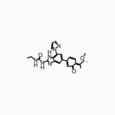 CCNC(=O)Nc1nc2cc(C3=CC(=O)/C(=C(\C)[C@@H](C)OC)C=C3)cc(-n3cccn3)c2[nH]1